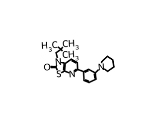 CC(C)(C)Cn1c(=O)sc2nc(-c3cccc(N4CCCCC4)c3)ccc21